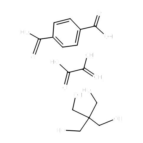 C=C(C)C(=O)O.O=C(O)c1ccc(C(=O)O)cc1.OCC(CO)(CO)CO